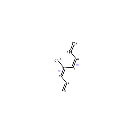 C=C/C=C(Cl)\C=C/N=O